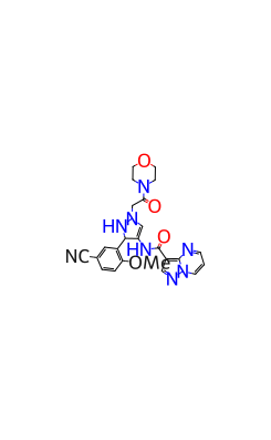 COc1ccc(C#N)cc1C1NN(CC(=O)N2CCOCC2)C=C1NC(=O)c1cnn2cccnc12